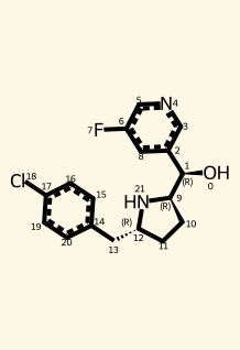 O[C@H](c1cncc(F)c1)[C@H]1CC[C@H](Cc2ccc(Cl)cc2)N1